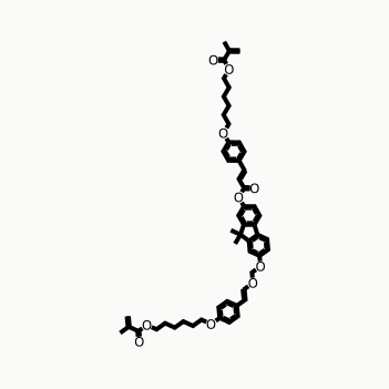 C=C(C)C(=O)OCCCCCCOc1ccc(C=COCOc2ccc3c(c2)C(C)(C)c2cc(OC(=O)C=Cc4ccc(OCCCCCCOC(=O)C(=C)C)cc4)ccc2-3)cc1